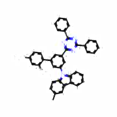 Cc1ccc2c(c1)c1ccccc1n2-c1cc(-c2nc(-c3ccccc3)nc(-c3ccccc3)n2)cc(-c2ccc(C(F)(F)F)cc2C(F)(F)F)c1